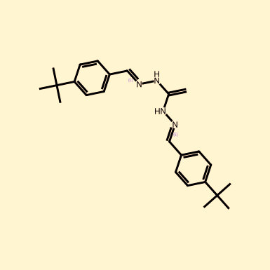 C=C(N/N=C/c1ccc(C(C)(C)C)cc1)N/N=C/c1ccc(C(C)(C)C)cc1